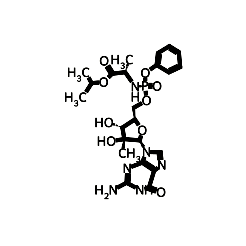 CC(C)OC(=O)[C@H](C)N[P@](=O)(OC[C@H]1O[C@@H](n2cnc3c(=O)[nH]c(N)nc32)[C@](C)(O)[C@@H]1O)Oc1ccccc1